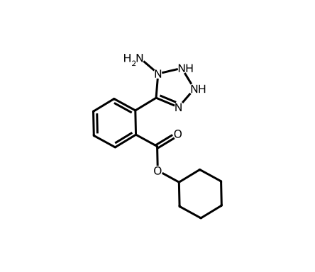 NN1NNN=C1c1ccccc1C(=O)OC1CCCCC1